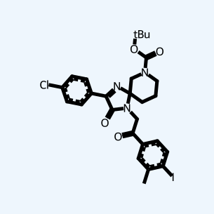 Cc1cc(C(=O)CN2C(=O)C(c3ccc(Cl)cc3)=NC23CCCN(C(=O)OC(C)(C)C)C3)ccc1I